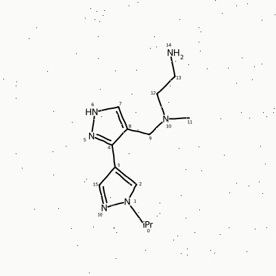 CC(C)n1cc(-c2n[nH]cc2CN(C)CCN)cn1